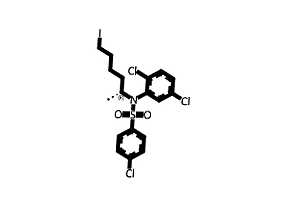 C[C@H](CCCCI)N(c1cc(Cl)ccc1Cl)S(=O)(=O)c1ccc(Cl)cc1